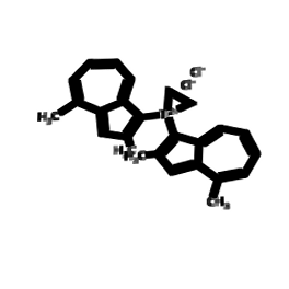 Cc1ccccc2[c]([Ti+2]3([c]4c(C)cc5c(C)ccccc4-5)[CH2][CH2]3)c(C)cc1-2.[Cl-].[Cl-]